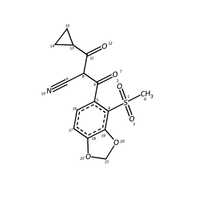 CS(=O)(=O)c1c(C(=O)C(C#N)C(=O)C2CC2)ccc2c1OCO2